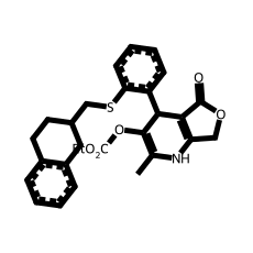 CCOC(=O)OC1=C(C)NC2=C(C(=O)OC2)C1c1ccccc1SCC1CCc2ccccc2C1